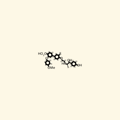 COc1ccc(Oc2cc(-c3ccc(OCCN[C@H](C)[C@@H](O)c4ccc(O)cc4)c(F)c3)ccc2C(=O)O)cc1